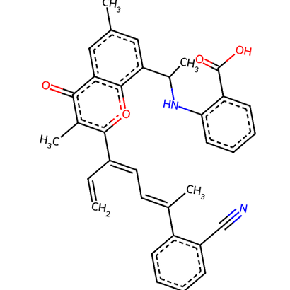 C=C/C(=C\C=C(/C)c1ccccc1C#N)c1oc2c(C(C)Nc3ccccc3C(=O)O)cc(C)cc2c(=O)c1C